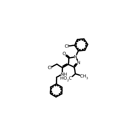 CC(C(=O)O)C1=NN(c2ccccc2Cl)C(=O)C1=C(CCl)NCc1ccccc1